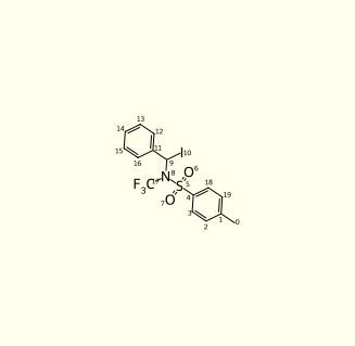 Cc1ccc(S(=O)(=O)N(C(I)c2ccccc2)C(F)(F)F)cc1